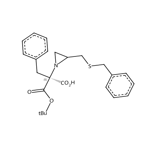 CC(C)(C)OC(=O)[C@](Cc1ccccc1)(C(=O)O)N1CC1CSCc1ccccc1